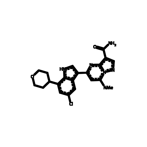 CNc1cc(-c2c[nH]c3c(C4CCOCC4)cc(Cl)cc23)nc2c(C(N)=O)cnn12